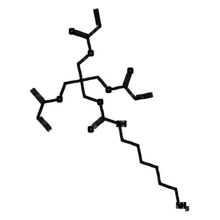 C=CC(=C)OCC(COC(=O)C=C)(COC(=O)C=C)COC(=O)NCCCCCCN